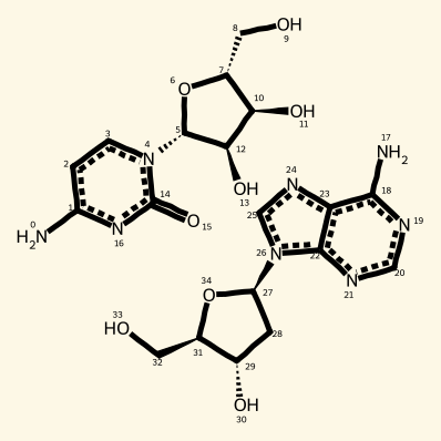 Nc1ccn([C@@H]2O[C@H](CO)[C@@H](O)[C@H]2O)c(=O)n1.Nc1ncnc2c1ncn2[C@H]1C[C@H](O)[C@@H](CO)O1